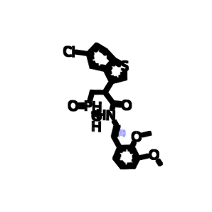 COc1cccc(/C=C/NC(=O)C(C[PH](=O)O)c2csc3ccc(Cl)cc23)c1OC